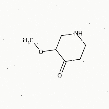 COC1CNCCC1=O